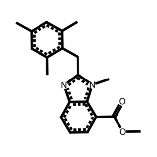 COC(=O)c1cccc2nc(Cc3c(C)cc(C)cc3C)n(C)c12